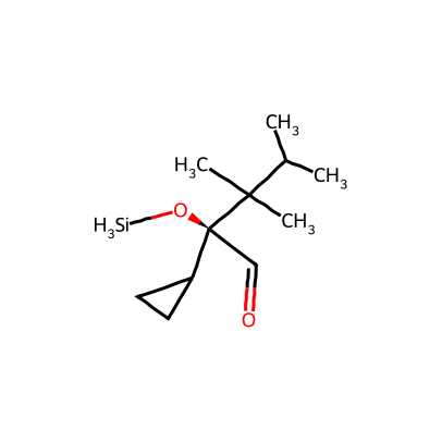 CC(C)C(C)(C)[C@@](C=O)(O[SiH3])C1CC1